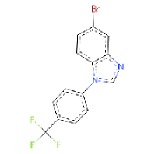 FC(F)(F)c1ccc(-n2cnc3cc(Br)ccc32)cc1